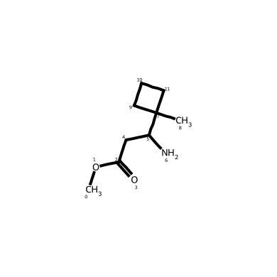 COC(=O)CC(N)C1(C)CCC1